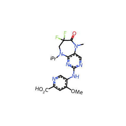 COc1cc(C(=O)O)ncc1Nc1ncc2c(n1)N(C(C)C)CC(F)(F)C(=O)N2C